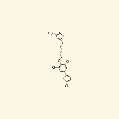 Cc1cc(CCCCCOc2c(Cl)cc(-c3ccc(Cl)s3)cc2Cl)on1